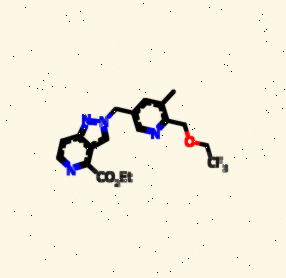 CCOC(=O)c1nccc2nn(Cc3cnc(COCC(F)(F)F)c(C)c3)cc12